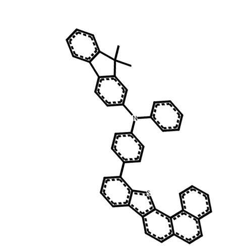 CC1(C)c2ccccc2-c2ccc(N(c3ccccc3)c3ccc(-c4cccc5c4sc4c5ccc5ccc6ccccc6c54)cc3)cc21